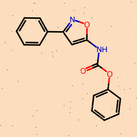 O=C(Nc1cc(-c2ccccc2)no1)Oc1ccccc1